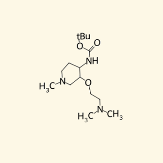 CN(C)CCOC1CN(C)CCC1NC(=O)OC(C)(C)C